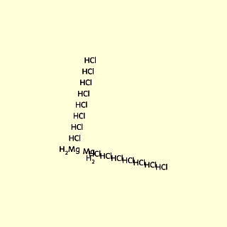 Cl.Cl.Cl.Cl.Cl.Cl.Cl.Cl.Cl.Cl.Cl.Cl.Cl.Cl.Cl.[MgH2].[MgH2]